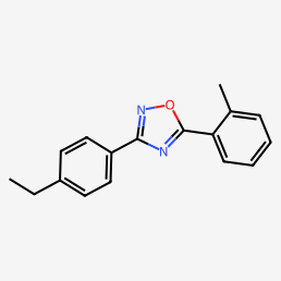 CCc1ccc(-c2noc(-c3ccccc3C)n2)cc1